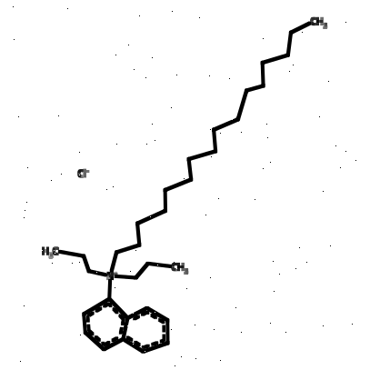 CCCCCCCCCCCCCCCC[N+](CCC)(CCC)c1cccc2ccccc12.[Cl-]